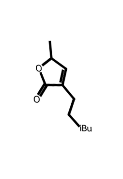 CCC(C)CCC1=CC(C)OC1=O